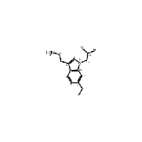 CCc1ccc2c(CCN)cn(CC(C)C)c2c1